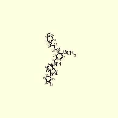 COc1ccc(CNc2ncnc3c2cnn3-c2cccc(I)c2)cc1OCCCN1CCOCC1